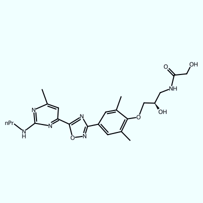 CCCNc1nc(C)cc(-c2nc(-c3cc(C)c(OC[C@H](O)CNC(=O)CO)c(C)c3)no2)n1